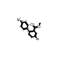 COC(=O)c1cc(Br)ccc1-c1ccc(Br)cc1